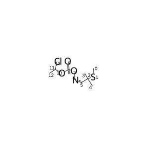 CSC(C)(C)/C=N\OC(=O)OC(C)Cl